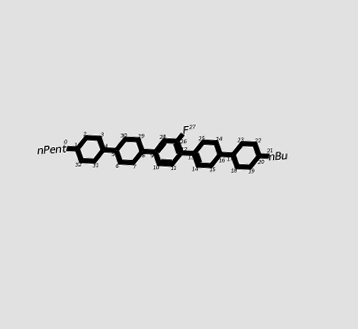 CCCCCC1CCC(C2CCC(c3ccc(C4=CCC(C5CCC(CCCC)CC5)CC4)c(F)c3)CC2)CC1